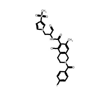 Cc1cc2c(c(Cl)c1C(=O)NC(C=O)Cn1ccc(S(C)(=O)=O)c1)CCN(C(=O)c1ccc(I)cc1)C2